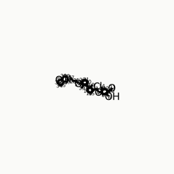 Cc1c(COc2cc(O)c(C=O)cc2Cl)cccc1-c1cccc(OCCCN2CCC3OCCCC3C2)c1C